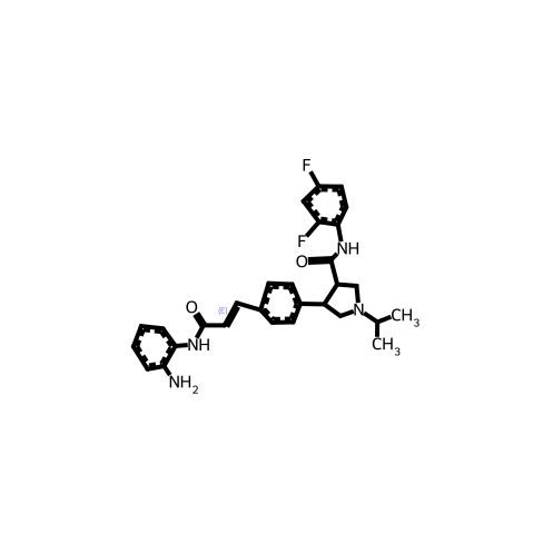 CC(C)N1CC(C(=O)Nc2ccc(F)cc2F)C(c2ccc(/C=C/C(=O)Nc3ccccc3N)cc2)C1